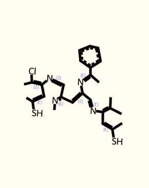 C\N=C(\C=N/C(/C=C(\C)S)=C(/C)Cl)/C=C(/C=N/C(/C=C(\C)S)=C(C)C)\N=C(/C)c1ccccc1